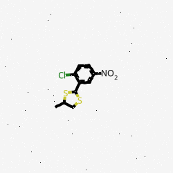 CC1CSC(c2cc([N+](=O)[O-])ccc2Cl)S1